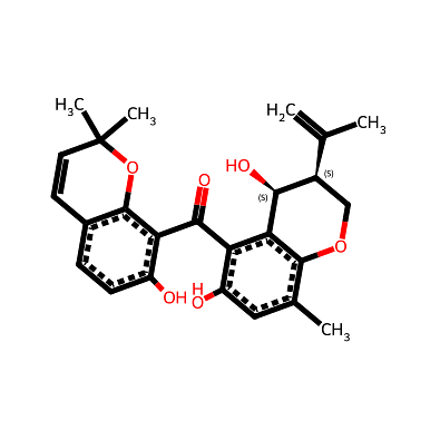 C=C(C)[C@H]1COc2c(C)cc(O)c(C(=O)c3c(O)ccc4c3OC(C)(C)C=C4)c2[C@H]1O